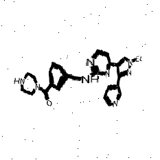 CCn1cc(-c2ccnc(Nc3cccc(C(=O)N4CCNCC4)c3)n2)c(-c2cccnc2)n1